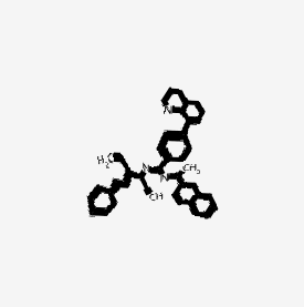 C#CC(/N=C(\N=C(/C)c1ccc2ccccc2c1)c1ccc(-c2cccc3cccnc23)cc1)/C(C=C)=C/C=C1/C=CC=CC1